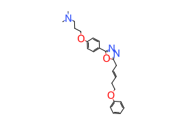 CN(C)CCCOc1ccc(-c2nnc(CC=CCCOc3ccccc3)o2)cc1